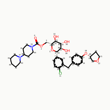 O=C(OC[C@H]1O[C@@H](c2ccc(Cl)c(Cc3ccc(O[C@@H]4CCOC4)cc3)c2)[C@H](O)[C@@H](O)[C@@H]1O)N1CCC(N2CCCCC2)CC1